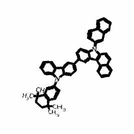 CC1(C)CCC(C)(C)c2cc(-n3c4ccccc4c4cc(-c5ccc6c(c5)c5c7ccccc7ccc5n6-c5ccc6ccccc6c5)ccc43)ccc21